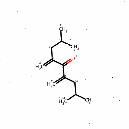 C=C(CC(C)C)C(=O)C(=C)CC(C)C